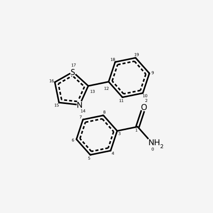 NC(=O)c1ccccc1.c1ccc(-c2nccs2)cc1